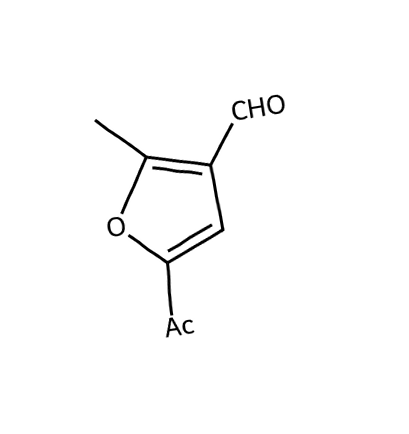 CC(=O)c1cc(C=O)c(C)o1